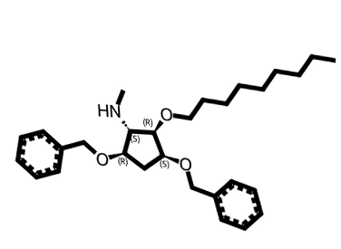 CCCCCCCCCO[C@@H]1[C@@H](NC)[C@H](OCc2ccccc2)C[C@@H]1OCc1ccccc1